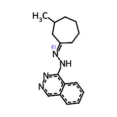 CC1CCCC/C(=N\Nc2nncc3ccccc23)C1